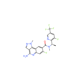 C[C@H](c1ncc(C(F)(F)F)cc1F)N(C)C(=O)c1cc2c(cc1F)nc(N)c1cnn(C)c12